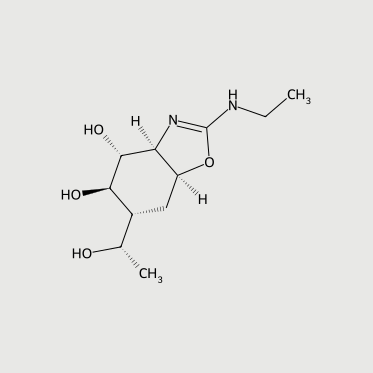 CCNC1=N[C@@H]2[C@@H](O)[C@H](O)[C@@H]([C@H](C)O)C[C@@H]2O1